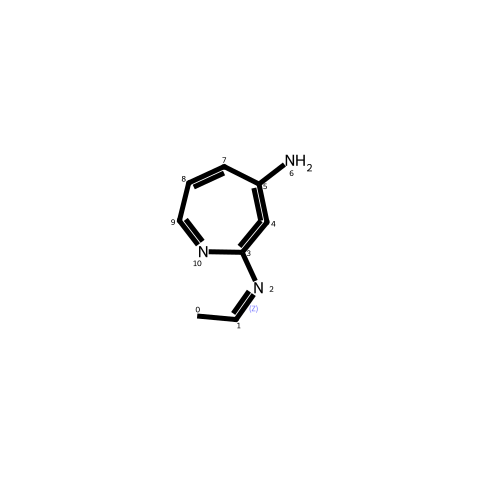 C/C=N\C1=C=C(N)C=CC=N1